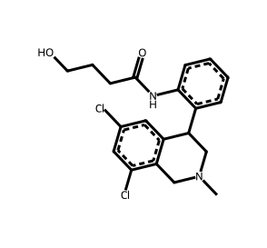 CN1Cc2c(Cl)cc(Cl)cc2C(c2ccccc2NC(=O)CCCO)C1